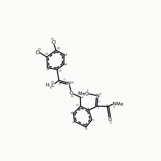 CNC(=O)/C(=N/OC)c1ccccc1CO/N=C(\C)c1ccc(Cl)c(Cl)c1